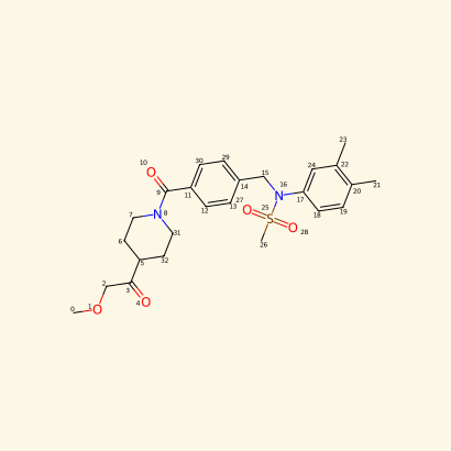 COCC(=O)C1CCN(C(=O)c2ccc(CN(c3ccc(C)c(C)c3)S(C)(=O)=O)cc2)CC1